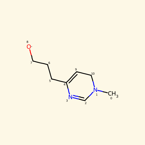 CN1C=NC(CCC[O])=CC1